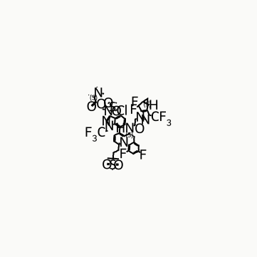 C[C@@H](C(=O)OCN(c1nn(CC(F)(F)F)c2c(-c3ccc(CCC(C)(C)S(C)(=O)=O)nc3[C@H](Cc3cc(F)cc(F)c3)NC(=O)Cn3nc(C(F)(F)F)c4c3C(F)(F)C3C[C@H]43)ccc(Cl)c12)S(C)(=O)=O)N(C)C